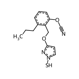 CCCc1cccc(OC#N)c1COc1ccn(S)n1